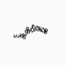 COC(=O)NCC1CN(c2ccc(C3(C)C=CC(N4CCS(=O)(=O)CC4)=NC3)c(F)c2)C(=O)O1